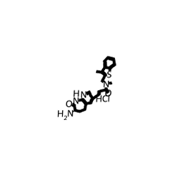 Cc1c(CN(C)C(=O)/C=C/c2cnc3c(c2)CC[C@H](N)C(=O)N3)sc2ccccc12.Cl